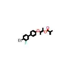 C=C(C)C(=O)O/C(C)=C(\C)Oc1ccc(-c2ccc(CC)c(F)c2)cc1